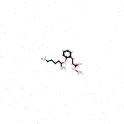 CCCCCC(C)Oc1ccccc1CCC(=O)OC